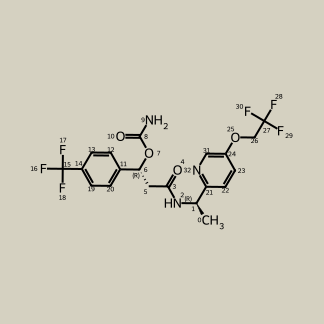 C[C@@H](NC(=O)C[C@@H](OC(N)=O)c1ccc(C(F)(F)F)cc1)c1ccc(OCC(F)(F)F)cn1